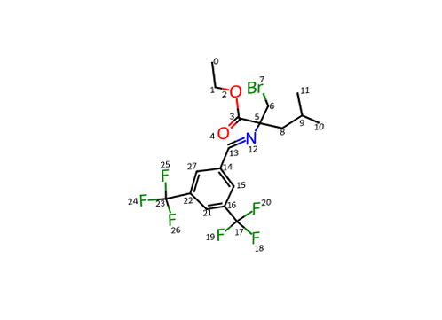 CCOC(=O)C(CBr)(CC(C)C)/N=C/c1cc(C(F)(F)F)cc(C(F)(F)F)c1